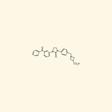 O=C(c1ccccc1)c1cccc(N2CCN(c3ccc(CN4CC(C(=O)O)C4)cc3)C2=O)c1